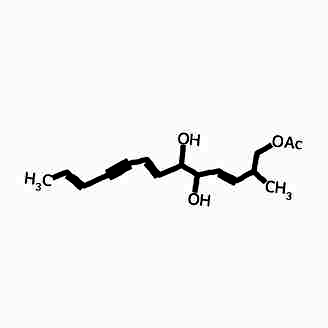 C/C=C/C#C/C=C/C(O)C(O)/C=C/C(C)COC(C)=O